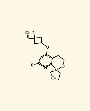 Clc1cc(OC2CC3(COC3)C2)c2c(n1)C1(CCOC1)OCC2